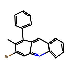 Cc1c(Br)cc2nc3ccccc3cc2c1-c1ccccc1